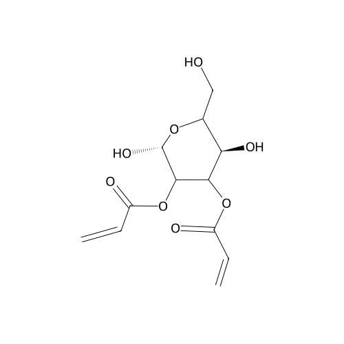 C=CC(=O)OC1C(OC(=O)C=C)[C@H](O)OC(CO)[C@H]1O